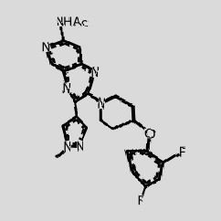 CC(=O)Nc1cc2nc(N3CCC(Oc4ccc(F)cc4F)CC3)c(-c3cnn(C)c3)nc2cn1